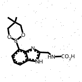 CC1(C)COB(c2cccc3[nH]c(CNC(=O)O)nc23)OC1